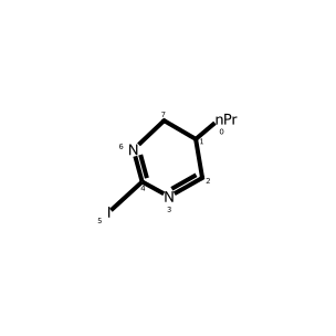 CCCC1C=NC(I)=NC1